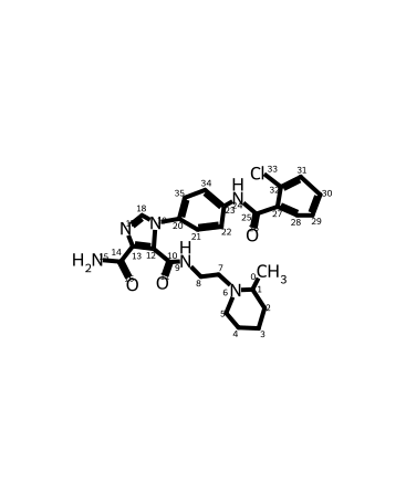 CC1CCCCN1CCNC(=O)c1c(C(N)=O)ncn1-c1ccc(NC(=O)c2ccccc2Cl)cc1